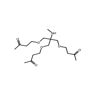 CNC(COCCC(C)=O)(COCCC(C)=O)COCCC(C)=O